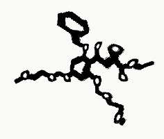 CCOC(=O)C(=O)CC(=O)c1c(OCOCCOC)cc(OCOCCOC)cc1OCc1ccccc1